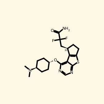 CN(C)[C@H]1CC[C@H](Oc2ncnc3sc4c(c23)[C@@H](CC(F)(F)C(N)=O)CC4)CC1